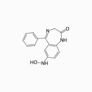 O=C1CN=C(c2ccccc2)c2cc(NO)ccc2N1